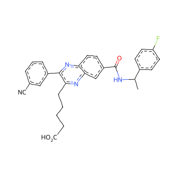 CC(NC(=O)c1ccc2nc(-c3cccc(C#N)c3)c(CCCCC(=O)O)nc2c1)c1ccc(F)cc1